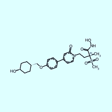 C[C@@](CCn1ccc(-c2ccc(OC[C@H]3CC[C@H](O)CC3)cc2)cc1=O)(C(=O)NO)S(C)(=O)=O